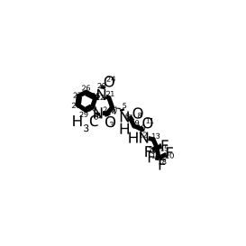 CN1C(=O)[C@@H](CNC(=O)CC(=O)NCC(F)(F)C(F)(F)F)CN(C=O)c2ccccc21